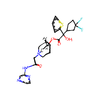 O=C(C[N+]12CCC(CC1)[C@@H](OC(=O)C(O)(c1cccs1)C1CCC(F)(F)C1)C2)Nc1cnccn1